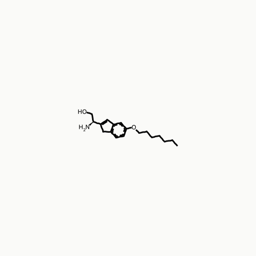 CCCCCCCOc1ccc2c(c1)C=C([C@@H](N)CO)C2